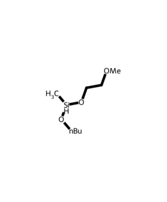 CCCCO[SiH](C)OCCOC